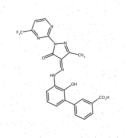 CC1=NN(c2nccc(C(F)(F)F)n2)C(=O)C1=NNc1cccc(-c2cccc(C(=O)O)c2)c1O